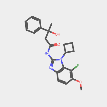 COc1ccc2nc(NC(=O)CC(C)(O)c3ccccc3)n(C3CCC3)c2c1F